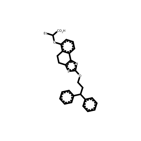 CCC(Oc1cccc2c1CCc1sc(OCCC(c3ccccc3)c3ccccc3)nc1-2)C(=O)O